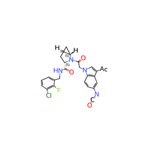 CC(=O)c1cn(CC(=O)N2[C@H](C(=O)NCc3cccc(Cl)c3F)C[C@H]3C[C@@H]32)c2ccc(N=C=O)cc12